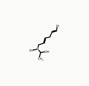 CCC=CCC=CCN(CC)C(C)O